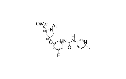 COC[C@@H]1C[C@H](Oc2cc(F)cc(NC(=O)Nc3ccc(C)nc3)c2)CN1C(C)=O